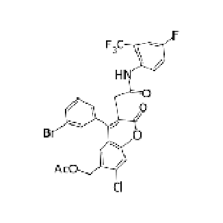 CC(=O)OCc1cc2c(-c3cccc(Br)c3)c(CC(=O)Nc3ccc(F)cc3C(F)(F)F)c(=O)oc2cc1Cl